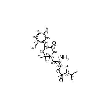 CC(C)[C@@H]1C[C@@H]([C@@H](N)CN2CC(=O)N(c3cc(F)ccc3I)CC2(C)C)OC1=O